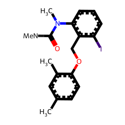 CNC(=O)N(C)c1cccc(I)c1COc1ccc(C)cc1C